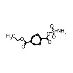 CCOC(=O)c1ccc(C(=O)OS(N)(=O)=O)cc1